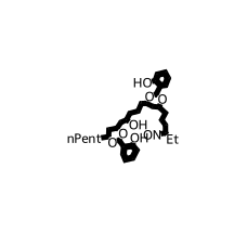 CCCCCC1CC(CC(O)CCCC2CC(CCCC(CC)N=O)OC(c3ccccc3O)O2)OC(c2ccccc2O)O1